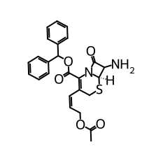 CC(=O)OC/C=C\C1=C(C(=O)OC(c2ccccc2)c2ccccc2)N2C(=O)C(N)[C@H]2SC1